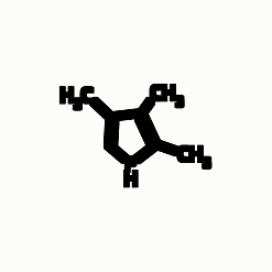 Cc1c[pH]c(C)c1C